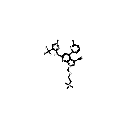 Cc1cccc(-c2cc(Nc3nn(C)cc3C(F)(F)F)nc3c2c(C#N)cn3COCCS(C)(C)C)n1